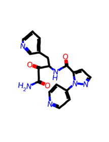 NC(=O)C(=O)C(Cc1cccnc1)NC(=O)c1ccnn1-c1ccncc1